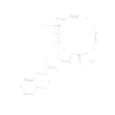 CCOC(=O)C12CC1C=CCCCCCC(N)C(=O)N1CC(OC(=O)N3CCc4ccccc4C3)CC1C(=O)N2